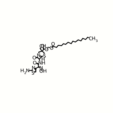 C=CC1(C(=O)OCOC(=O)CCCCCCCCCCCCCCC)CS[C@@H]2C(NC(=O)C(=NO)c3csc(N)n3)C(=O)N2C1